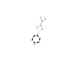 Ic1ccc(N2CC(C3COC3)C2)cc1